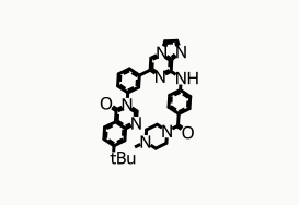 CN1CCN(C(=O)c2ccc(Nc3nc(-c4cccc(-n5cnc6cc(C(C)(C)C)ccc6c5=O)c4)cn4ccnc34)cc2)CC1